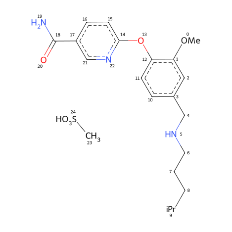 COc1cc(CNCCCC(C)C)ccc1Oc1ccc(C(N)=O)cn1.CS(=O)(=O)O